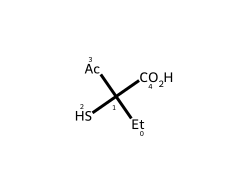 CCC(S)(C(C)=O)C(=O)O